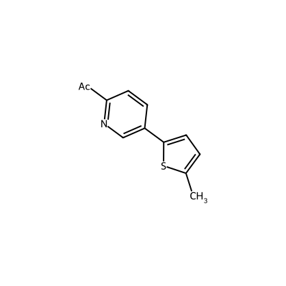 CC(=O)c1ccc(-c2ccc(C)s2)cn1